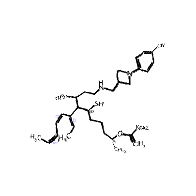 C=C(NC)O[C@H](C)CCC[C@H](S)C(C(/C=C\C=C/C)=C/C)C(CCC)CCNCC1CN(c2ccc(C#N)cc2)C1